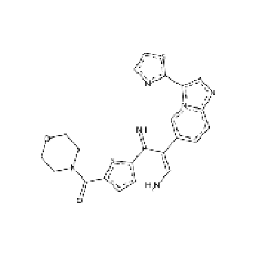 N=C(/C(=C\N)c1ccc2ncc(-c3nccs3)n2c1)c1ccc(C(=O)N2CCOCC2)s1